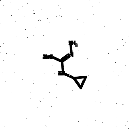 CSC(=NN)NC1CC1